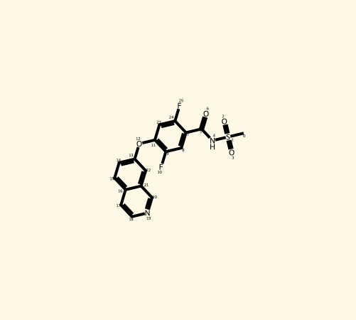 CS(=O)(=O)NC(=O)c1cc(F)c(Oc2ccc3ccncc3c2)cc1F